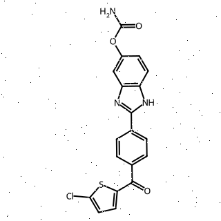 NC(=O)Oc1ccc2[nH]c(-c3ccc(C(=O)c4ccc(Cl)s4)cc3)nc2c1